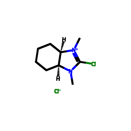 CN1C(Cl)=[N+](C)[C@@H]2CCCC[C@@H]21.[Cl-]